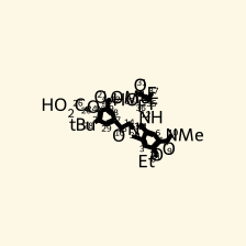 CCOc1cc2c(cc1C(=O)NC)C(=N)N(CC(=O)c1cc(C(=O)OC)c(OCC(=O)O)c(C(C)(C)C)c1)C2.O=C(O)C(F)(F)F